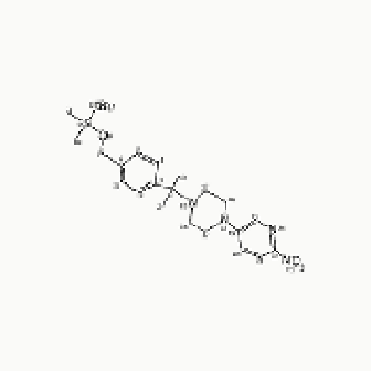 CC(C)(c1ccc(CO[Si](C)(C)C(C)(C)C)cc1)N1CCN(c2ccc([N+](=O)[O-])nc2)CC1